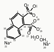 O.O.O=S(=O)([O-])c1ccc2ccccc2c1S(=O)(=O)[O-].[Na+].[Na+]